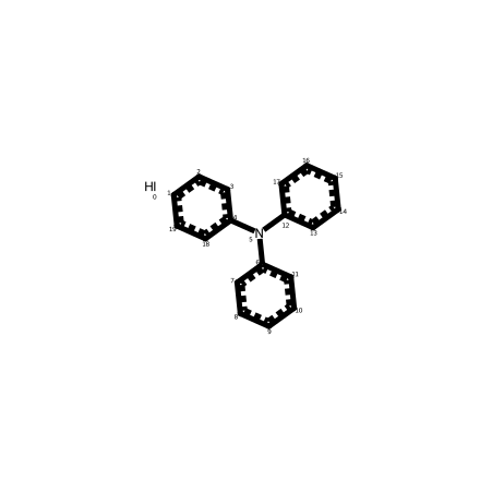 I.c1ccc(N(c2ccccc2)c2ccccc2)cc1